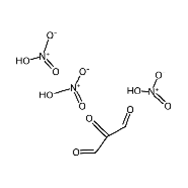 O=CC(=O)C=O.O=[N+]([O-])O.O=[N+]([O-])O.O=[N+]([O-])O